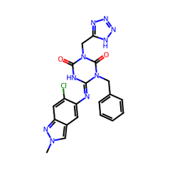 Cn1cc2cc(/N=c3\[nH]c(=O)n(Cc4nnn[nH]4)c(=O)n3Cc3ccccc3)c(Cl)cc2n1